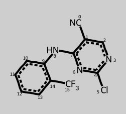 N#Cc1cnc(Cl)nc1Nc1ccccc1C(F)(F)F